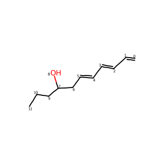 C=C/C=C/C=C/CC(O)CCC